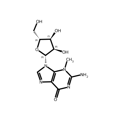 Cn1c(N)nc(=O)c2ncn([C@@H]3O[C@H](CO)[C@@H](O)[C@H]3O)c21